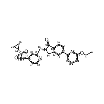 CCOc1cncc(-c2ccc3c(c2)CN(Cc2cc(NS(=O)(=O)C4CC4)ccn2)C3=O)n1